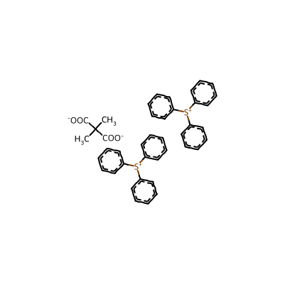 CC(C)(C(=O)[O-])C(=O)[O-].c1ccc([S+](c2ccccc2)c2ccccc2)cc1.c1ccc([S+](c2ccccc2)c2ccccc2)cc1